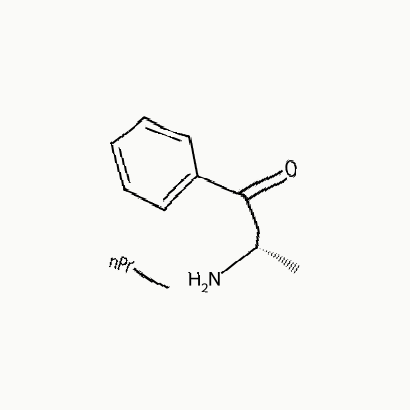 CCCC.C[C@H](N)C(=O)c1ccccc1